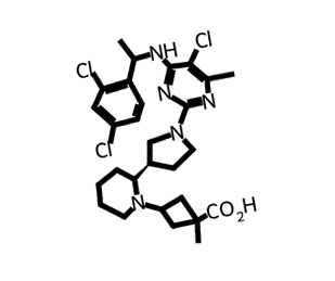 Cc1nc(N2CC[C@@H](C3CCCCN3C3CC(C)(C(=O)O)C3)C2)nc(NC(C)c2ccc(Cl)cc2Cl)c1Cl